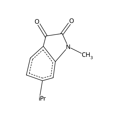 CC(C)c1ccc2c(c1)N(C)C(=O)C2=O